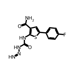 N=NNC(=O)Nc1sc(-c2ccc(F)cc2)cc1C(N)=O